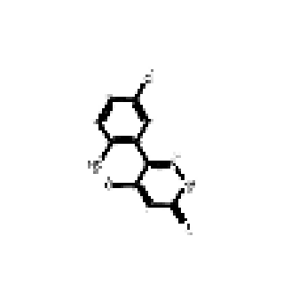 O=c1cc(Cl)c(-c2cc(Cl)ccc2O)n[nH]1